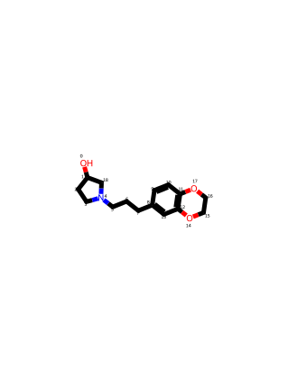 OC1CCN(CCCc2ccc3c(c2)OCCO3)C1